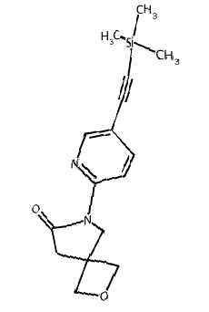 C[Si](C)(C)C#Cc1ccc(N2CC3(COC3)CC2=O)nc1